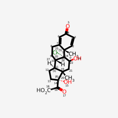 C[C@]12C=CC(=O)C=C1CC[C@H]1[C@@H]3CC[C@](O)(C(=O)C(=O)O)[C@@]3(C)CC(O)[C@@]12Cl